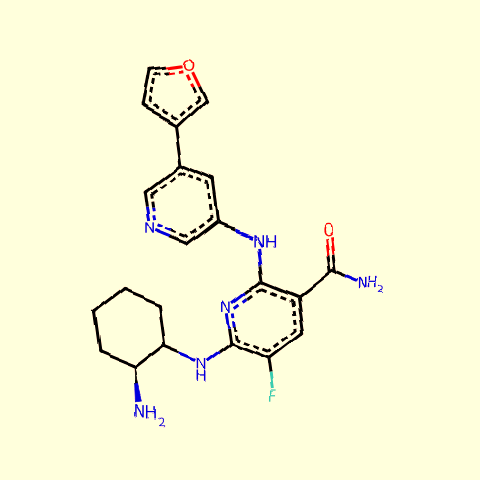 NC(=O)c1cc(F)c(NC2CCCC[C@@H]2N)nc1Nc1cncc(-c2ccoc2)c1